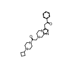 O=C(Cc1cnc2n1CCN(CC(=O)N1CCN(C3CCC3)CC1)C2)c1ccccc1